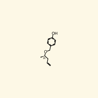 C=CC[C@@H](C)OCc1ccc(O)cc1